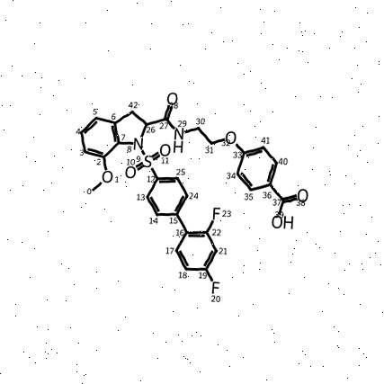 COc1cccc2c1N(S(=O)(=O)c1ccc(-c3ccc(F)cc3F)cc1)C(C(=O)NCCOc1ccc(C(=O)O)cc1)C2